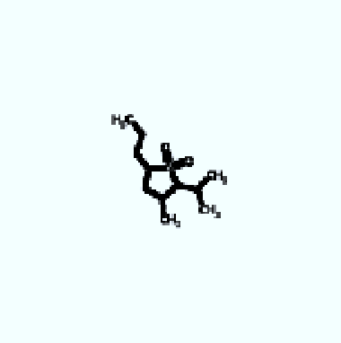 CCCC1CC(C)C(C(C)C)S1(=O)=O